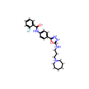 O=C(Nc1ccc(-c2nnc(NCCCN3CCCCCC3)o2)cc1)c1ccccc1F